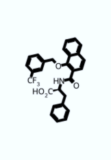 O=C(N[C@@H](Cc1ccccc1)C(=O)O)c1ccc2ccccc2c1OCc1cccc(C(F)(F)F)c1